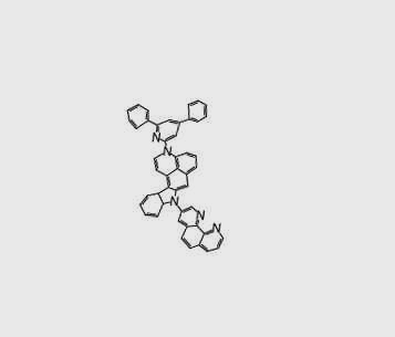 C1=CC2c3c(cc4cccc5c4c3C=CN5c3cc(-c4ccccc4)cc(-c4ccccc4)n3)N(c3cnc4c(ccc5cccnc54)c3)C2C=C1